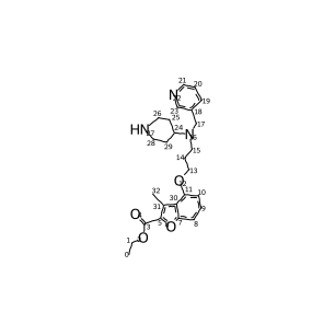 CCOC(=O)c1oc2cccc(OCCCN(Cc3cccnc3)C3CCNCC3)c2c1C